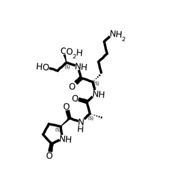 C[C@H](NC(=O)[C@@H]1CCC(=O)N1)C(=O)N[C@@H](CCCCN)C(=O)N[C@@H](CO)C(=O)O